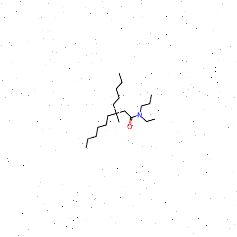 CCCCCCC(C)(CCCCC)CC(=O)N(CC)CCC